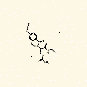 [N-]=[N+]=Nc1ccc(C(=O)NC(CCC(N)=O)C(=O)NCC(=O)O)c([N+](=O)[O-])c1